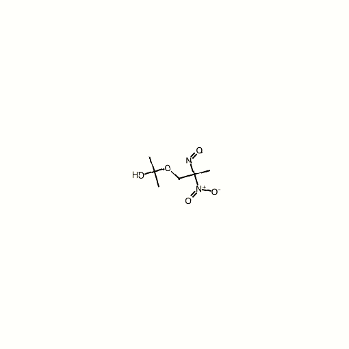 CC(C)(O)OCC(C)(N=O)[N+](=O)[O-]